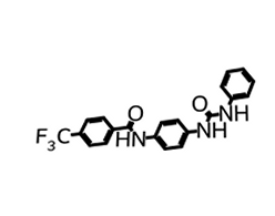 O=C(Nc1ccccc1)Nc1ccc(NC(=O)c2ccc(C(F)(F)F)cc2)cc1